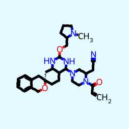 C=CC(=O)N1CCN(C2NC(OCC3CCCN3C)NC3C[C@@]4(CCC32)Cc2ccccc2CO4)CC1CC#N